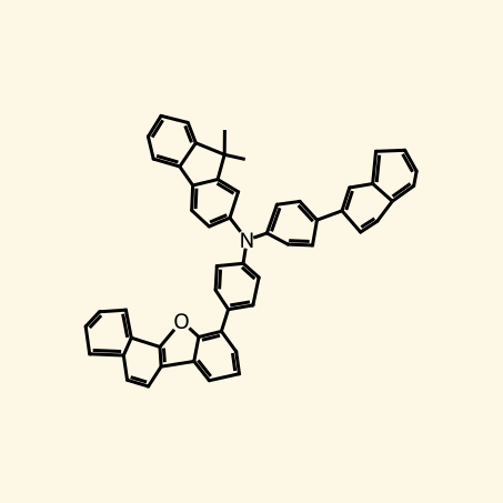 CC1(C)c2ccccc2-c2ccc(N(c3ccc(-c4ccc5ccccc5c4)cc3)c3ccc(-c4cccc5c4oc4c6ccccc6ccc54)cc3)cc21